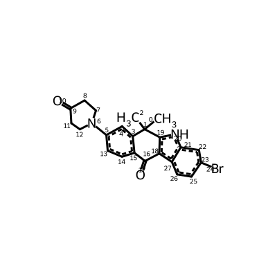 CC1(C)c2cc(N3CCC(=O)CC3)ccc2C(=O)c2c1[nH]c1cc(Br)ccc21